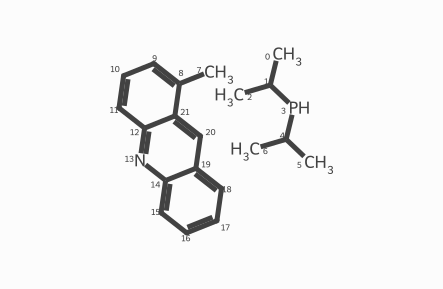 CC(C)PC(C)C.Cc1cccc2nc3ccccc3cc12